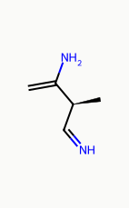 C=C(N)[C@@H](C)C=N